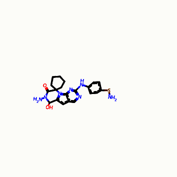 NSc1ccc(Nc2ncc3cc4n(c3n2)C2(CCCCC2)C(=O)N(N)C4O)cc1